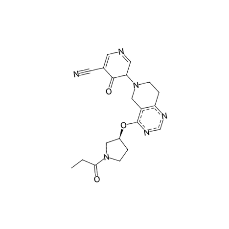 CCC(=O)N1CC[C@H](Oc2ncnc3c2CN(C2C=NC=C(C#N)C2=O)CC3)C1